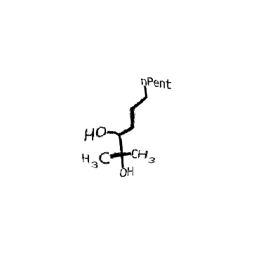 CCCCCCCCC(O)C(C)(C)O